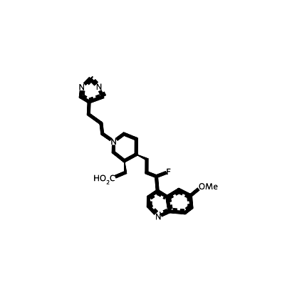 COc1ccc2nccc(C(F)CC[C@@H]3CCN(CCCc4cncnc4)C[C@@H]3CC(=O)O)c2c1